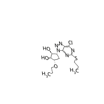 CCCO[C@H]1C[C@@H](n2nnc3c(Cl)nc(SCCC)nc32)[C@H](O)[C@@H]1O